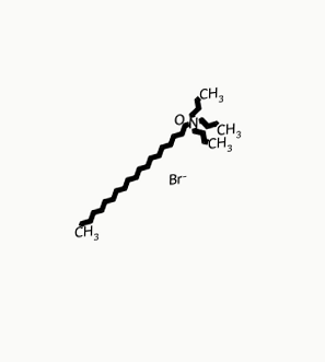 CCCCCCCCCCCCCCCCCCCC(=O)[N+](CCCC)(CCCC)CCCC.[Br-]